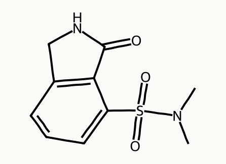 CN(C)S(=O)(=O)c1cccc2c1C(=O)NC2